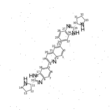 c1cc2nc(-c3ccc4nc([C@@H]5CCCN5)[nH]c4c3)ccc2cc1-c1ccc2nc([C@@H]3CCCN3)[nH]c2c1